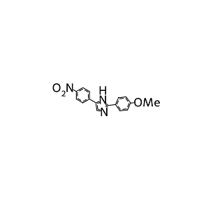 COc1ccc(-c2ncc(-c3ccc([N+](=O)[O-])cc3)[nH]2)cc1